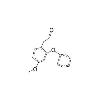 COc1ccc(CC=O)c(Oc2ccccc2)c1